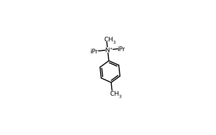 Cc1ccc([N+](C)(C(C)C)C(C)C)cc1